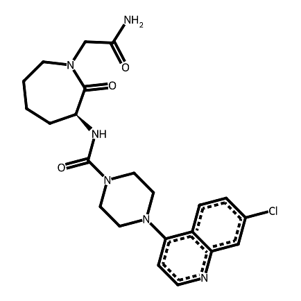 NC(=O)CN1CCCC[C@H](NC(=O)N2CCN(c3ccnc4cc(Cl)ccc34)CC2)C1=O